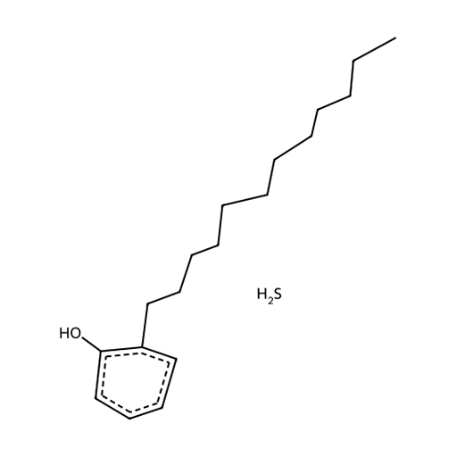 CCCCCCCCCCCCc1ccccc1O.S